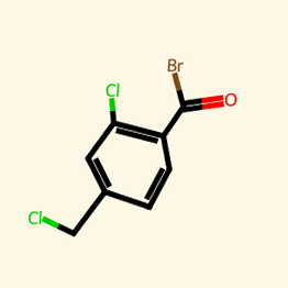 O=C(Br)c1ccc(CCl)cc1Cl